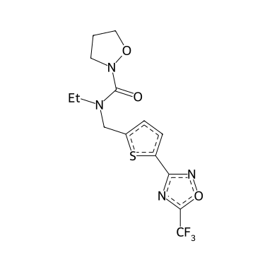 CCN(Cc1ccc(-c2noc(C(F)(F)F)n2)s1)C(=O)N1CCCO1